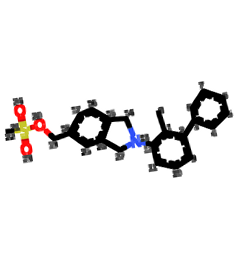 Cc1c(-c2ccccc2)cccc1N1Cc2ccc(COS(C)(=O)=O)cc2C1